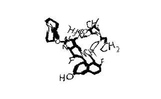 C#Cc1c(F)ccc2cc(O)cc(-c3ncc4c(N(C)C[C@H]5N(C(=O)C=C)CCC5(C)O)nc(OCC56CCCN5CCC6)nc4c3F)c12